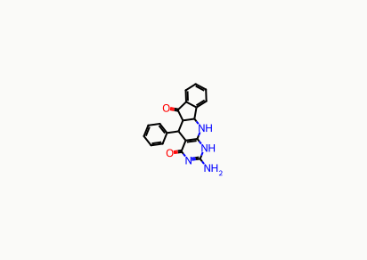 Nc1nc(=O)c2c([nH]1)NC1c3ccccc3C(=O)C1C2c1ccccc1